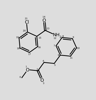 COC(=O)CCc1ccccc1.NC(=O)c1ccccc1Cl